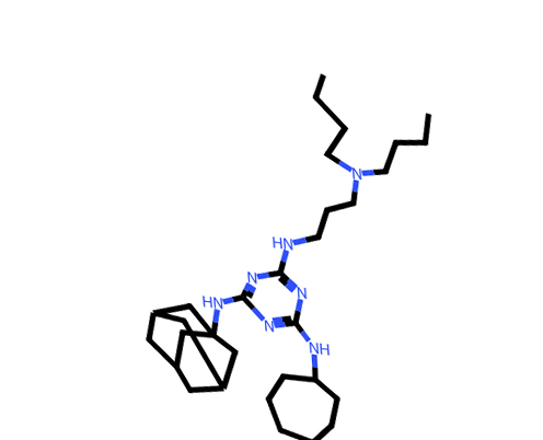 CCCCN(CCCC)CCCNc1nc(NC2CCCCCC2)nc(NC23CC4CC(CC(C4)C2)C3)n1